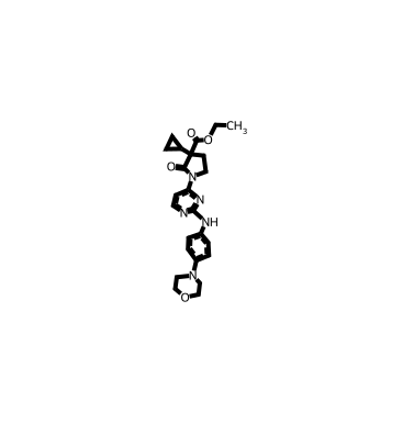 CCOC(=O)C1(C2CC2)CCN(c2ccnc(Nc3ccc(N4CCOCC4)cc3)n2)C1=O